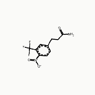 NC(=O)CCc1ccc([N+](=O)[O-])c(C(F)(F)F)c1